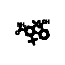 C[Si](C)(C)c1cc(C(N)=O)cc([Si](C)(C)C)c1-c1ccccc1C(=O)O